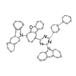 c1ccc(-c2ccc(-c3nc(-c4ccc(-n5c6ccccc6c6cc7ccccc7cc65)c5oc6ccccc6c45)nc(-n4c5ccccc5c5ccccc54)n3)cc2)cc1